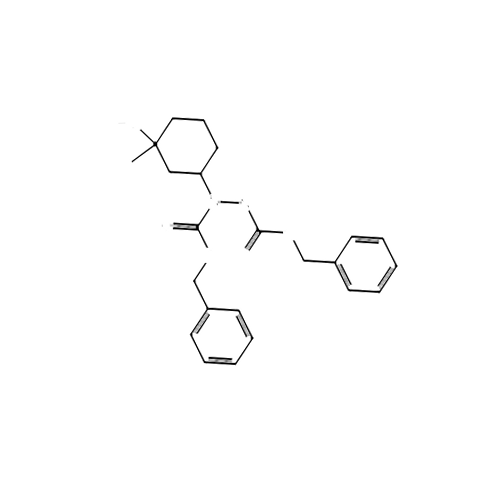 CC1(O)CCCC(N(NC(=O)OCc2ccccc2)C(=O)OCc2ccccc2)C1